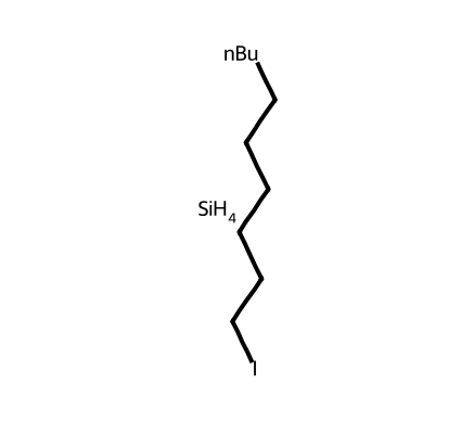 CCCCCCCCCCI.[SiH4]